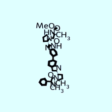 COC(=O)N[C@@H](C)C(=O)N1CCC[C@H]1c1nc2cc(-c3ccc4c(c3)N=C([C@@H]3CCCN3C(=O)C(c3ccccc3)N(C)C)C4)ccc2[nH]1